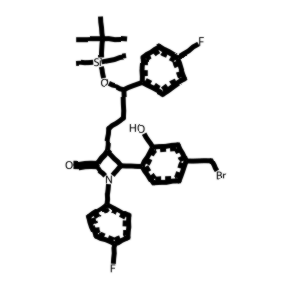 CC(C)(C)[Si](C)(C)OC(CCC1C(=O)N(c2ccc(F)cc2)C1c1ccc(CBr)cc1O)c1ccc(F)cc1